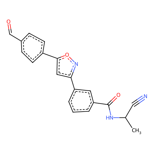 CC(C#N)NC(=O)c1cccc(-c2cc(-c3ccc(C=O)cc3)on2)c1